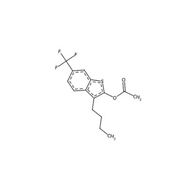 CCCCc1c(OC(C)=O)sc2cc(C(F)(F)F)ccc12